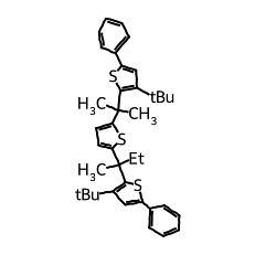 CCC(C)(c1ccc(C(C)(C)c2sc(-c3ccccc3)cc2C(C)(C)C)s1)c1sc(-c2ccccc2)cc1C(C)(C)C